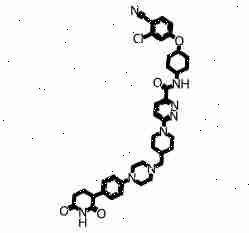 N#Cc1ccc(OC2CCC(NC(=O)c3ccc(N4CCC(CN5CCN(c6ccc(C7CCC(=O)NC7=O)cc6)CC5)CC4)nn3)CC2)cc1Cl